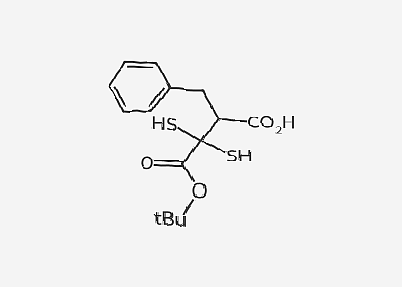 CC(C)(C)OC(=O)C(S)(S)C(Cc1ccccc1)C(=O)O